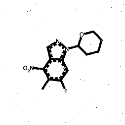 Cc1c(F)cc2c(cnn2C2CCCCO2)c1[N+](=O)[O-]